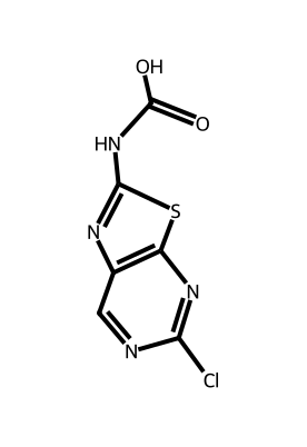 O=C(O)Nc1nc2cnc(Cl)nc2s1